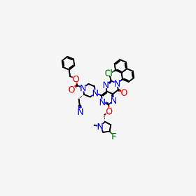 Cc1nc2c(N3CCN(C(=O)OCc4ccccc4)[C@@H](CC#N)C3)nc(OC[C@@H]3C[C@@H](F)CN3C)nc2c(=O)n1-c1cccc2cccc(Cl)c12